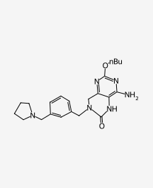 CCCCOc1nc(N)c2c(n1)CN(Cc1cccc(CN3CCCC3)c1)C(=O)N2